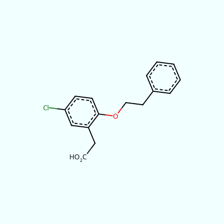 O=C(O)Cc1cc(Cl)ccc1OCCc1ccccc1